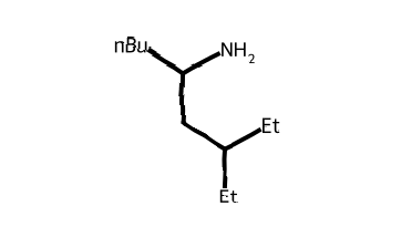 CCCCC(N)CC(CC)CC